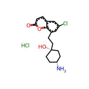 Cl.N[C@H]1CC[C@](O)(CCc2cc(Cl)cc3ccc(=O)oc23)CC1